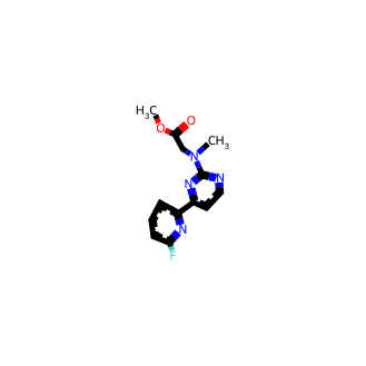 COC(=O)CN(C)c1nccc(-c2cccc(F)n2)n1